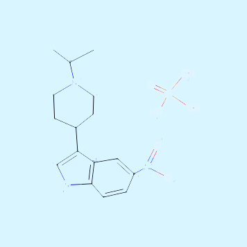 CC(C)N1CCC(c2c[nH]c3ccc([N+](=O)[O-])cc23)CC1.O=P(O)(O)O